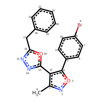 Cc1noc(-c2ccc(Br)cc2)c1-c1nnc(Cc2ccccc2)o1